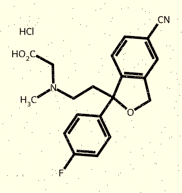 CN(CCC1(c2ccc(F)cc2)OCc2cc(C#N)ccc21)CC(=O)O.Cl